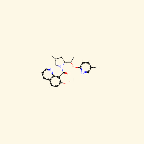 CCOc1ccc2cccnc2c1C(=O)N1CC(C)CC1C(C)Oc1ccc(C(F)(F)F)cn1